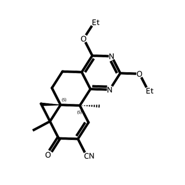 CCOc1nc(OCC)c2c(n1)[C@@]1(C)C=C(C#N)C(=O)C3(C)C[C@]31CC2